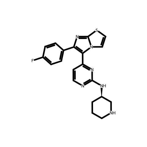 Fc1ccc(-c2nc3sccn3c2-c2ccnc(N[C@@H]3CCCNC3)n2)cc1